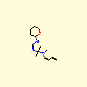 C=C/C=C\N(C)C(C)(C)/N=C\NC1CCCCO1